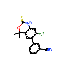 CC1(C)OC(=S)Nc2cc(Cl)c(-c3cccc(C#N)c3)cc21